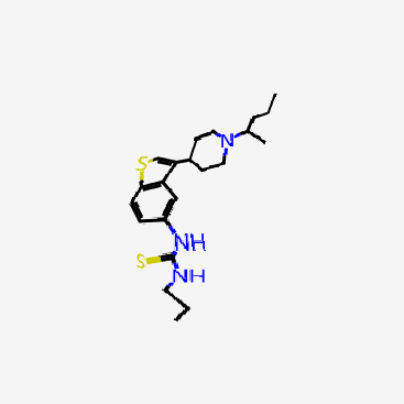 CCCNC(=S)Nc1ccc2scc(C3CCN(C(C)CCC)CC3)c2c1